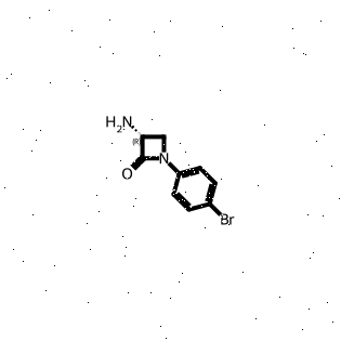 N[C@@H]1CN(c2ccc(Br)cc2)C1=O